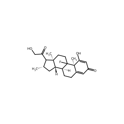 C[C@H]1C[C@H]2[C@@H]3CCC4=CC(=O)C=C(O)[C@]4(C)C3(F)CC[C@]2(C)[C]1C(=O)CO